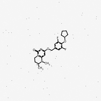 C[C@H]1CCn2c(cc(OCc3cc(F)c(OC4CCCC4)c(F)c3)nc2=O)N1C